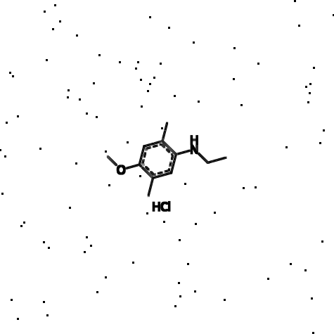 CCNc1cc(C)c(OC)cc1C.Cl